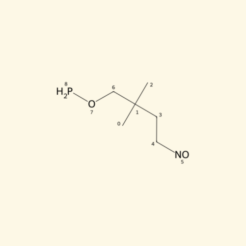 CC(C)(CCN=O)COP